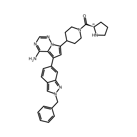 Nc1ncnn2c(C3CCN(C(=O)[C@H]4CCCN4)CC3)cc(-c3ccc4cn(Cc5ccccc5)nc4c3)c12